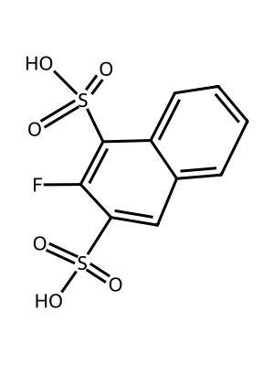 O=S(=O)(O)c1cc2ccccc2c(S(=O)(=O)O)c1F